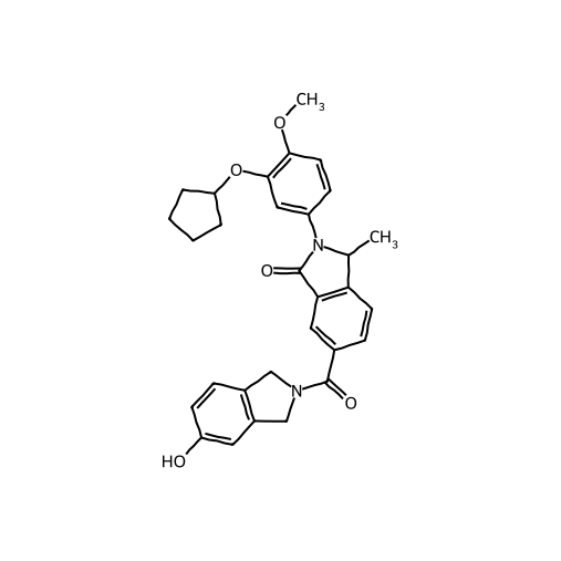 COc1ccc(N2C(=O)c3cc(C(=O)N4Cc5ccc(O)cc5C4)ccc3C2C)cc1OC1CCCC1